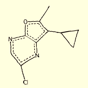 Cc1oc2ncc(Cl)nc2c1C1CC1